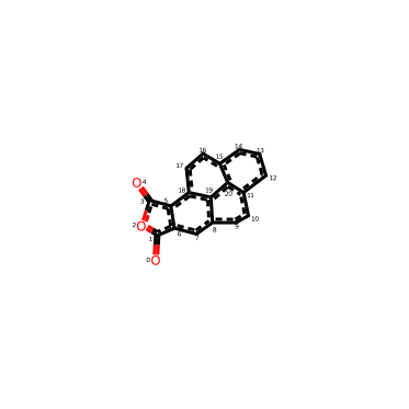 O=c1oc(=O)c2c1cc1ccc3cccc4ccc2c1c34